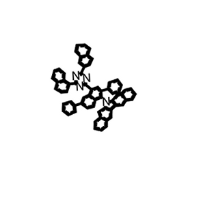 c1ccc(-c2ccc3c(-n4c5cc6ccccc6cc5c5cc6ccccc6cc54)c(-c4ccccc4)cc(-c4nc(-c5ccc6ccccc6c5)nc(-c5cccc6ccccc56)n4)c3c2)cc1